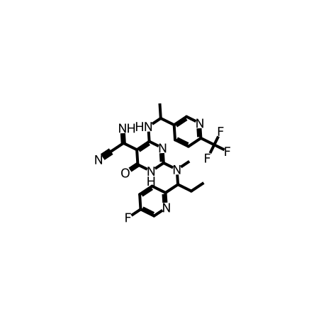 CCC(c1ccc(F)cn1)N(C)c1nc(NC(C)c2ccc(C(F)(F)F)nc2)c(C(=N)C#N)c(=O)[nH]1